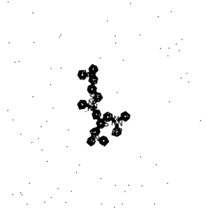 c1ccc(-c2nc(-c3ccc(-c4cc(-c5ccc6c7ccccc7n(-c7ccccc7)c6c5)cc5sc6c(-c7nc(-c8ccccc8)nc(-c8ccccc8)n7)cccc6c45)cc3)nc(-c3cccc4c3sc3ccc(-c5ccc6c7ccccc7n(-c7ccccc7)c6c5)cc34)n2)cc1